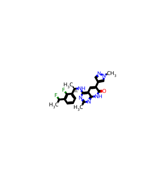 Cc1nc(N[C@H](C)c2cccc(C(C)F)c2F)c2cc(-c3cnn(C)c3)c(=O)[nH]c2n1